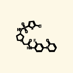 O=C(CN1CC[C@@H](NS(=O)(=O)c2ccc(Cl)s2)C1)Nc1ccc(-n2ccccc2=O)cc1F